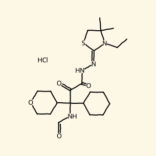 CCN1C(=NNC(=O)C(=O)C(NC=O)(C2CCCCC2)C2CCOCC2)SCC1(C)C.Cl